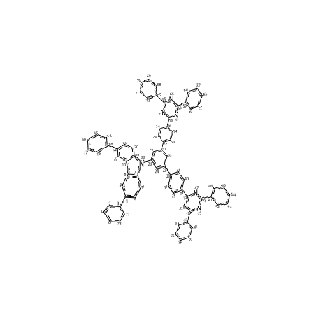 c1ccc(-c2ccc3c(c2)c2cc(-c4ccccc4)ccc2n3-c2cc(-c3ccc(-c4nc(-c5ccccc5)nc(-c5ccccc5)n4)cc3)cc(-c3ccc(-c4nc(-c5ccccc5)nc(-c5ccccc5)n4)cc3)c2)cc1